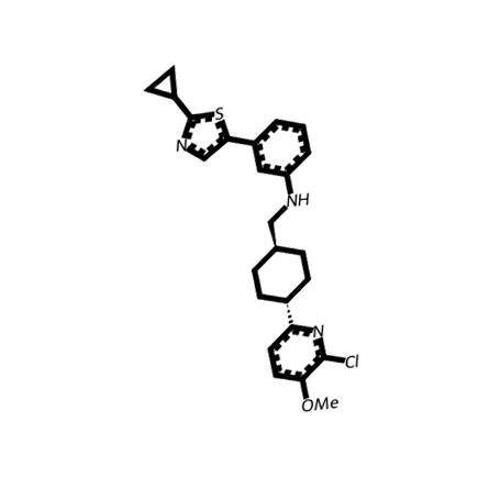 COc1ccc([C@H]2CC[C@H](CNc3cccc(-c4cnc(C5CC5)s4)c3)CC2)nc1Cl